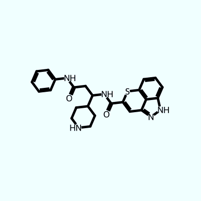 O=C(CC(NC(=O)C1=Cc2n[nH]c3cccc(c23)S1)C1CCNCC1)Nc1ccccc1